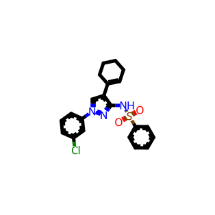 O=S(=O)(Nc1nn(-c2cccc(Cl)c2)cc1C1=CCCCC1)c1ccccc1